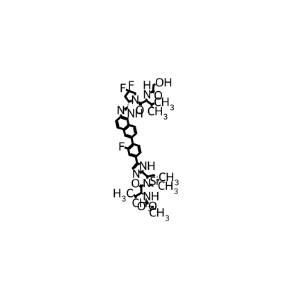 COC(=O)N[C@H](C(=O)N1C[Si](C)(C)CC1c1ncc(-c2ccc(-c3ccc4c(ccc5nc([C@@H]6CC(F)(F)CN6C(=O)C(NC(=O)CO)C(C)C)[nH]c54)c3)c(F)c2)[nH]1)C(C)C